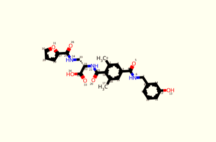 Cc1cc(C(=O)NCc2cccc(O)c2)cc(C)c1C(=O)N[C@@H](CNC(=O)c1ccco1)C(=O)O